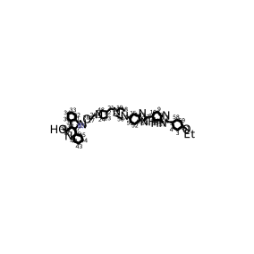 CCOc1ccc(-c2nc3ccc(-c4nc5cc(N6CCN(CC7CCN(CCO/N=C8\c9ccccc9-c9c(O)nc%10ccccc%10c98)C7)CC6)ccc5[nH]4)cc3[nH]2)cc1